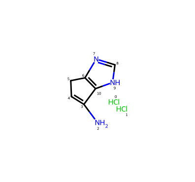 Cl.Cl.NC1=CCc2nc[nH]c21